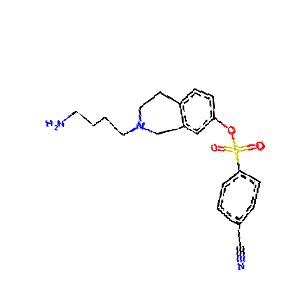 N#Cc1ccc(S(=O)(=O)Oc2ccc3c(c2)CN(CCCCN)CC3)cc1